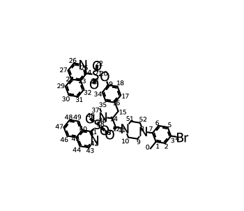 Cc1cc(Br)ccc1N1CCN(C(=O)C(Cc2ccc(OS(=O)(=O)c3nccc4ccccc34)cc2)N(C)S(=O)(=O)c2nccc3ccccc23)CC1